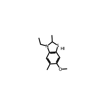 CCN1c2cc(C)c(OC)cc2SC1C.I